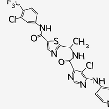 CC(NC(=O)c1ncnc(Nc2ccncc2)c1Cl)c1ncc(C(=O)Nc2ccc(C(F)(F)F)c(Cl)c2)s1